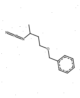 CC(CCOCc1ccccc1)N=[N+]=[N-]